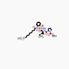 C=C[C@@H]1C[C@]1(NC(=O)[C@@H]1CCCN1C(=O)OC(C)(C)C)C(=O)NS(=O)(=O)c1ccccc1NC(=O)CCCCCCCC(=O)O